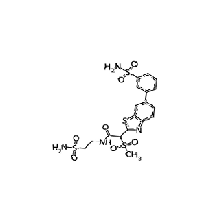 CS(=O)(=O)C(C(=O)NCCS(N)(=O)=O)c1nc2ccc(-c3cccc(S(N)(=O)=O)c3)cc2s1